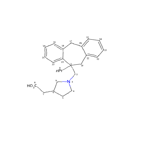 CCCC1(CN2CCC(CC(=O)O)C2)Cc2ccccc2Cc2ccccc21